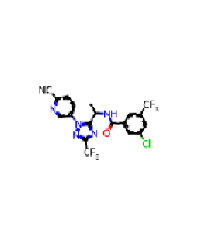 CC(NC(=O)c1cc(Cl)cc(C(F)(F)F)c1)c1nc(C(F)(F)F)nn1-c1ccc(C#N)nc1